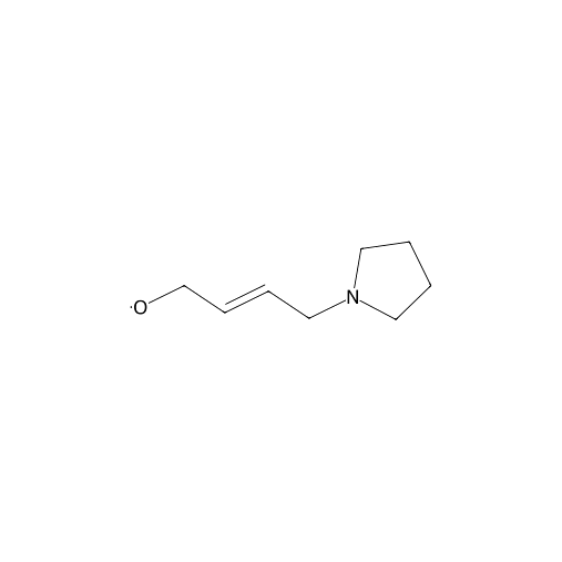 [O]CC=CCN1CCCC1